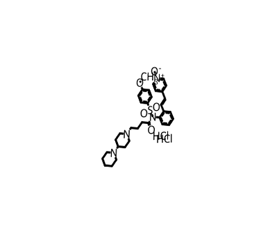 COc1ccc(S(=O)(=O)N(C(=O)CCCN2CCC(N3CCCCC3)CC2)c2ccccc2/C=C/c2cc[n+]([O-])cc2)cc1.Cl.Cl